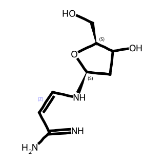 N=C(N)/C=C\N[C@@H]1CC(O)[C@H](CO)O1